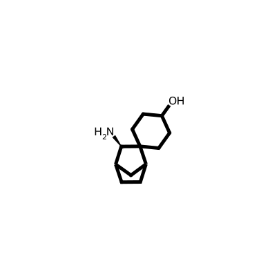 N[C@@H]1C2CCC(C2)C12CCC(O)CC2